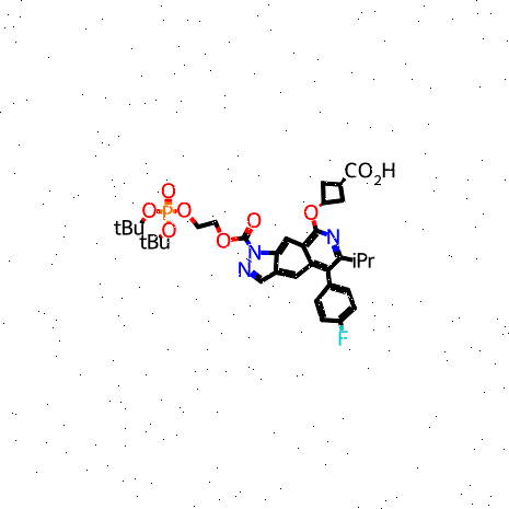 CC(C)c1nc(O[C@H]2C[C@H](C(=O)O)C2)c2cc3c(cnn3C(=O)OCCOP(=O)(OC(C)(C)C)OC(C)(C)C)cc2c1-c1ccc(F)cc1